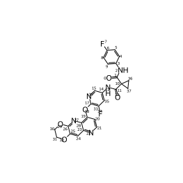 O=C(Nc1ccc(F)cc1)C1(C(=O)Nc2cnc(Oc3ccnc4cc5c(nc34)OCCO5)c(F)c2)CC1